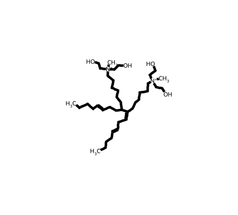 CCCC/C=C/C/C=C(/CCCCCC[N+](C)(CCO)CCO)C(CC/C=C/CCCC)CCCCCC[N+](C)(CCO)CCO